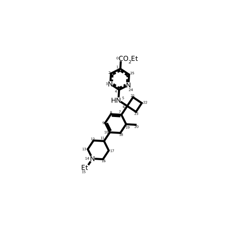 CCOC(=O)c1cnc(NC2(C3=CC=C(C4CCN(CC)CC4)CC3C)CCC2)nc1